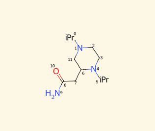 CC(C)N1CCN(C(C)C)C(CC(N)=O)C1